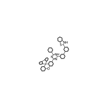 c1ccc(C2=NC(c3ccc4c(c3)C3(c5ccccc5O4)c4ccccc4-c4ccccc43)=NC(c3cccc(-c4cccc(C5Nc6ccccc6S5)c4)c3)N2)cc1